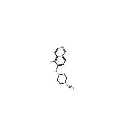 Cc1c(O[C@H]2CC[C@@H](N)CC2)ccc2cnccc12